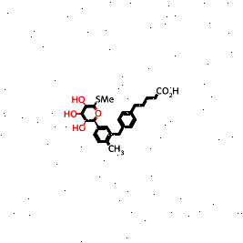 CS[C@H]1O[C@@H](c2ccc(C)c(Cc3ccc(CCCCC(=O)O)cc3)c2)[C@H](O)[C@@H](O)[C@@H]1O